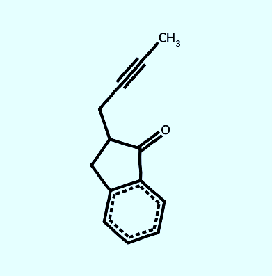 CC#CCC1Cc2ccccc2C1=O